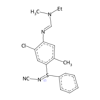 CCN(C)C=Nc1cc(C)c(/S(=N\C#N)c2ccccc2)cc1Cl